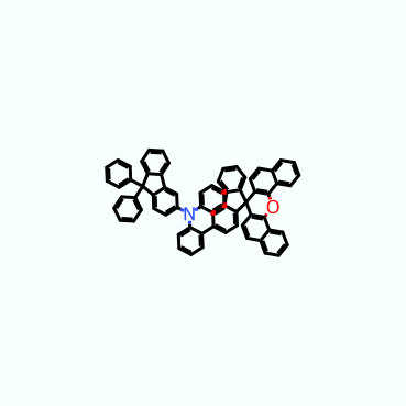 c1ccc(N(c2ccc3c(c2)-c2ccccc2C3(c2ccccc2)c2ccccc2)c2ccccc2-c2ccc3c(c2)-c2ccccc2C32c3ccc4ccccc4c3Oc3c2ccc2ccccc32)cc1